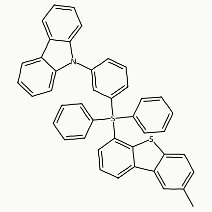 Cc1ccc2sc3c(S(c4ccccc4)(c4ccccc4)c4cccc(-n5c6ccccc6c6ccccc65)c4)cccc3c2c1